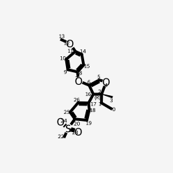 CC[C@@]1(C)OC=C(Oc2ccc(OC)cc2)C1c1ccc(S(C)(=O)=O)cc1